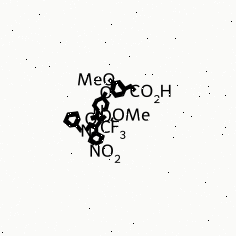 COCOC(C(=O)N1CCC(Oc2ccc(CC(=O)O)cc2OC)CC1)(c1cn(Cc2ccccc2)c2cc([N+](=O)[O-])ccc12)C(F)(F)F